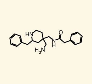 NCC1(CNC(=O)Cc2ccccc2)CCNC(Cc2ccccc2)C1